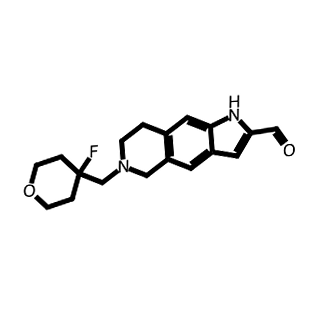 O=Cc1cc2cc3c(cc2[nH]1)CCN(CC1(F)CCOCC1)C3